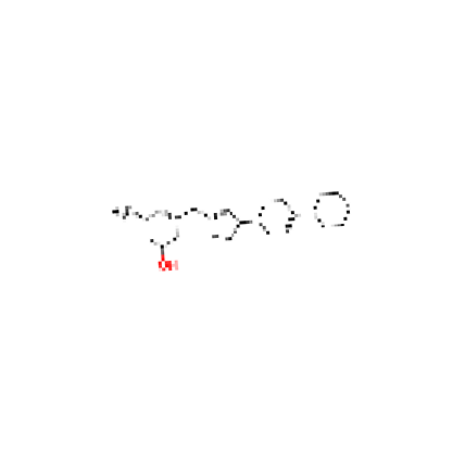 C[C@H]1C=C(CC2=CC([C@@H]3CC=C(C4CCCCC4)CC3)CC2)CC(O)C1